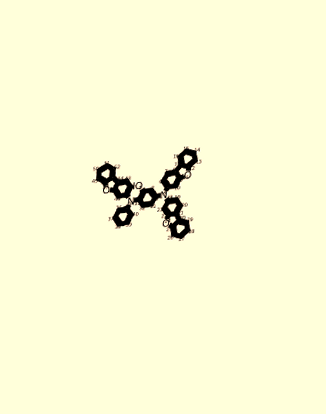 Oc1cc(N(c2ccc3c(c2)oc2ccccc23)c2ccc3c(c2)oc2ccccc23)ccc1N(c1ccccc1)c1ccc2c(c1)oc1ccccc12